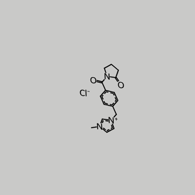 Cn1cc[n+](Cc2ccc(C(=O)N3CCCC3=O)cc2)c1.[Cl-]